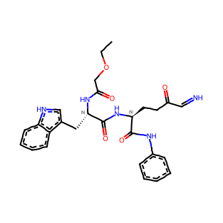 CCOCC(=O)N[C@@H](Cc1c[nH]c2ccccc12)C(=O)N[C@@H](CCC(=O)C=N)C(=O)Nc1ccccc1